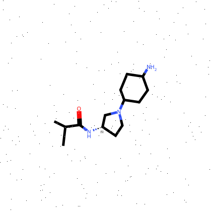 CC(C)C(=O)N[C@H]1CCN(C2CCC(N)CC2)C1